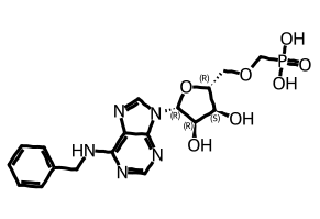 O=P(O)(O)COC[C@H]1O[C@@H](n2cnc3c(NCc4ccccc4)ncnc32)[C@H](O)[C@@H]1O